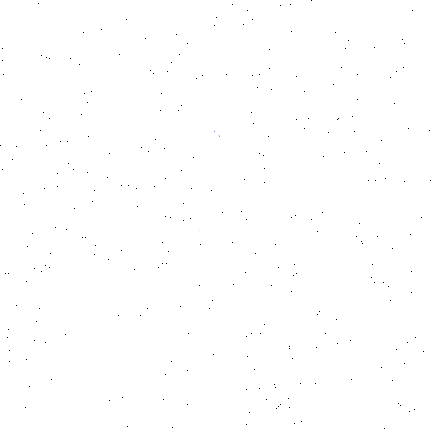 CN(C)C(=O)COc1cc[c]cc1